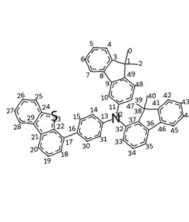 CC1(C)c2ccccc2-c2cc(N(c3ccc(-c4cccc5c4sc4ccccc45)cc3)c3cccc4c3C(C)(C)c3ccccc3-4)ccc21